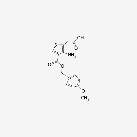 COc1ccc(COC(=O)c2csc(CC(=O)O)c2N)cc1